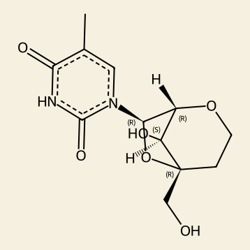 Cc1cn([C@@H]2O[C@@]3(CO)CCO[C@@H]2[C@@H]3O)c(=O)[nH]c1=O